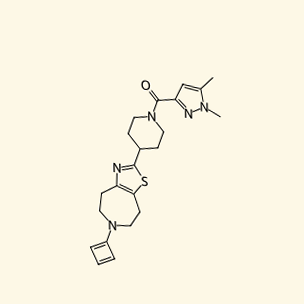 Cc1cc(C(=O)N2CCC(c3nc4c(s3)CCN(C3=CC=C3)CC4)CC2)nn1C